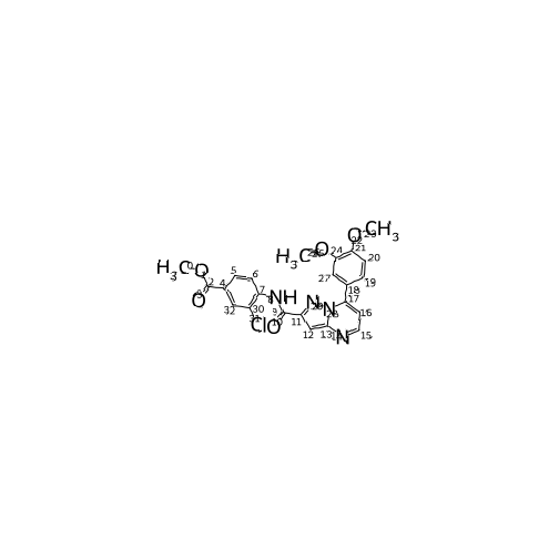 COC(=O)c1ccc(NC(=O)c2cc3nccc(-c4ccc(OC)c(OC)c4)n3n2)c(Cl)c1